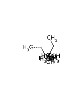 CCCCCCCC/C=C\CCCCCCCCOC(C)C(OCCCCCCCC/C=C\CCCCCCCC)C([N+](C)(C)CCO)[N+](C)(C)CCO.[I-].[I-]